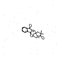 CC1(C)C[C@@]2(CN3C(=O)c4ccccc4C3=O)CCCN2C1=O